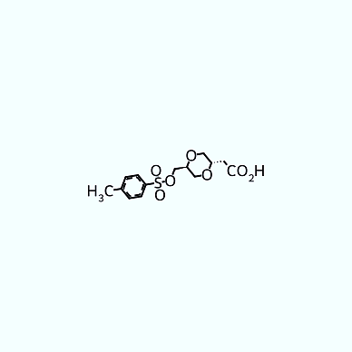 Cc1ccc(S(=O)(=O)OC[C@@H]2CO[C@@H](CC(=O)O)CO2)cc1